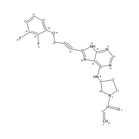 C=CC(=O)N1CCC(Nc2ncnc3[nH]c(C#CCOc4cccc(F)c4F)nc23)C1